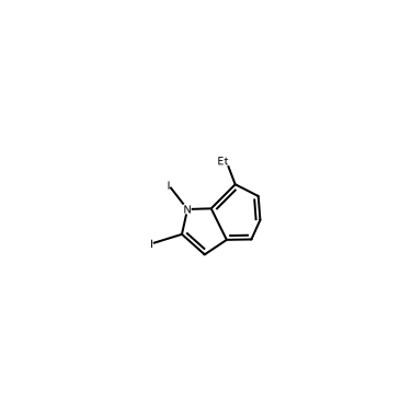 CCc1cccc2cc(I)n(I)c12